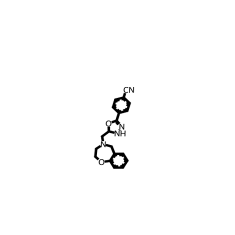 N#Cc1ccc(C2=NNC(CN3CCOc4ccccc4C3)O2)cc1